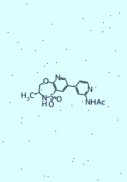 CC(=O)Nc1cc(-c2cnc3c(c2)S(=O)(=O)N[C@@H](C)CO3)ccn1